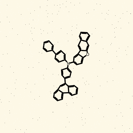 c1ccc(-c2ccc(N(c3ccc(-c4cc5ccccc5c5ccccc45)cc3)c3ccc4oc5cc6ccccc6cc5c4c3)cc2)cc1